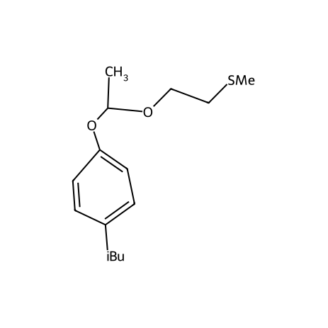 CCC(C)c1ccc(OC(C)OCCSC)cc1